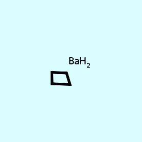 C1CCC1.[BaH2]